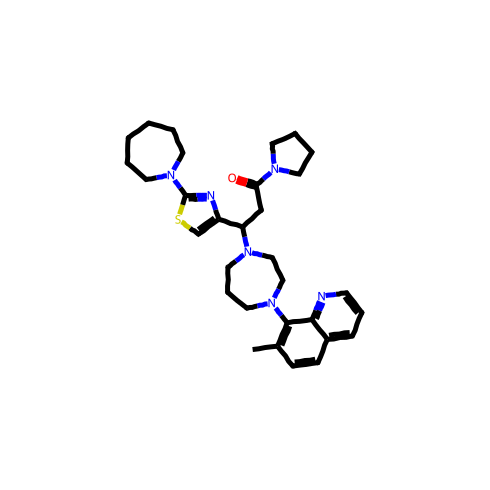 Cc1ccc2cccnc2c1N1CCCN(C(CC(=O)N2CCCC2)c2csc(N3CCCCCC3)n2)CC1